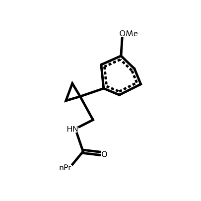 CCCC(=O)NCC1(c2cccc(OC)c2)CC1